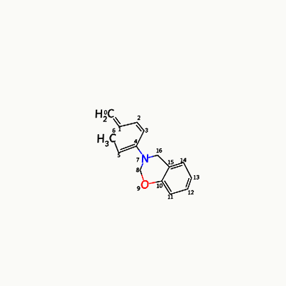 C=C/C=C\C(=C/C)N1COc2ccccc2C1